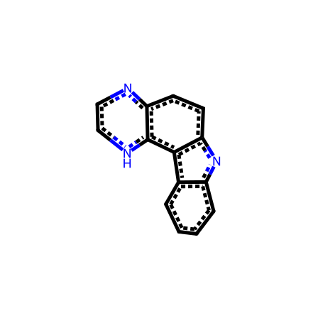 c1ccc2c(c1)nc1ccc3ncc[nH]c3c12